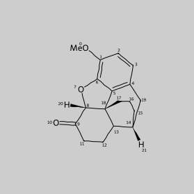 COc1ccc2c3c1O[C@H]1C(=O)CCC4[C@H](CCC[C@@]341)C2